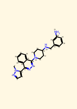 Cn1nccc1-c1nnc(N2CCC(NCc3cccc(N)c3)CC2)c2ccccc12